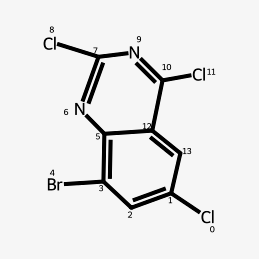 Clc1cc(Br)c2nc(Cl)nc(Cl)c2c1